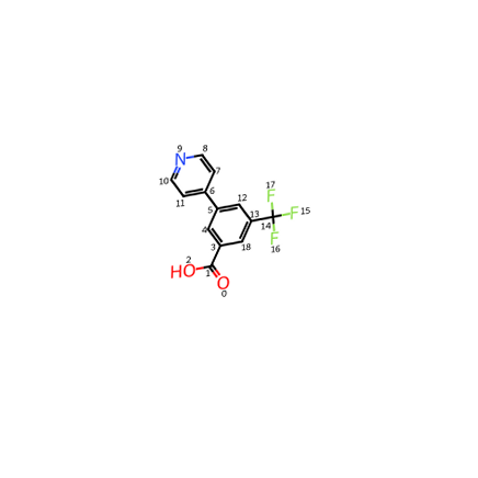 O=C(O)c1cc(-c2ccncc2)cc(C(F)(F)F)c1